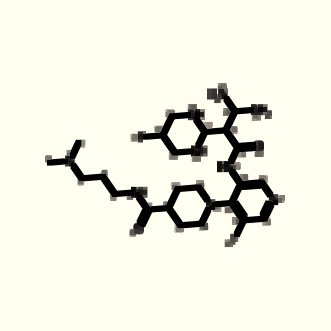 CN(C)CCCNC(=O)C1CCN(c2c(F)cncc2NC(=O)C(C(N)N)C2NCC(F)CN2)CC1